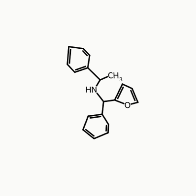 CC(NC(c1ccccc1)c1ccco1)c1ccccc1